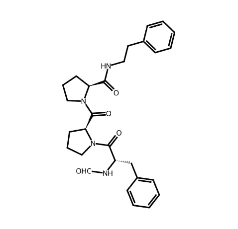 O=CN[C@@H](Cc1ccccc1)C(=O)N1CCC[C@H]1C(=O)N1CCC[C@H]1C(=O)NCCc1ccccc1